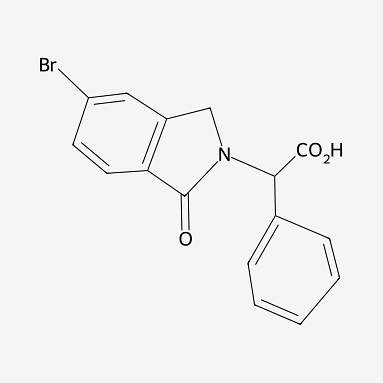 O=C(O)C(c1ccccc1)N1Cc2cc(Br)ccc2C1=O